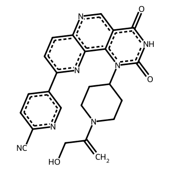 C=C(CO)N1CCC(n2c(=O)[nH]c(=O)c3cnc4ccc(-c5ccc(C#N)nc5)nc4c32)CC1